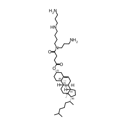 CC(C)CCCC(C)[C@H]1CC[C@H]2[C@@H]3CC=C4C[C@@H](OC(=O)CCC(=O)N(CCCN)CCCCNCCCN)CC[C@]4(C)[C@H]3CC[C@]12C